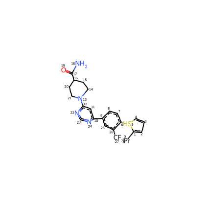 CC(C)C1=CC=C[SH]1c1ccc(-c2cc(N3CCC(C(N)=O)CC3)ncn2)cc1C(F)(F)F